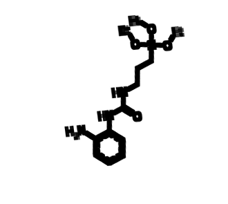 CCO[Si](CCCNC(=O)Nc1ccccc1N)(OCC)OCC